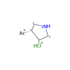 CC(=O)[C@H]1CCNC1.Cl